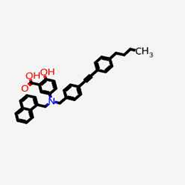 CCCCc1ccc(C#Cc2ccc(CN(Cc3cccc4ccccc34)c3ccc(O)c(C(=O)O)c3)cc2)cc1